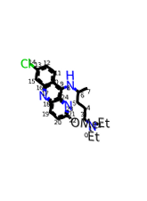 CCN(CC)CCCC(C)Nc1c2ccc(Cl)cc2nc2ccc(OC)nc12